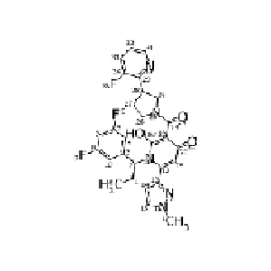 CC[C@@H](c1cc(F)cc(F)c1)n1c(-c2ccn(C)n2)cc(=O)c(C(=O)N2CCC(c3ncccc3F)C2)c1O